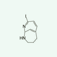 IC1=NC2C=C(C=C1)CCCN2